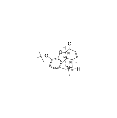 CN1CC[C@]23c4c5ccc(OC(C)(C)C)c4O[C@H]2C(=O)C=C[C@@]3(C)[C@H]1C5